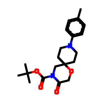 Cc1ccc(N2CCC3(CC2)CN(C(=O)OC(C)(C)C)C(=O)CO3)cc1